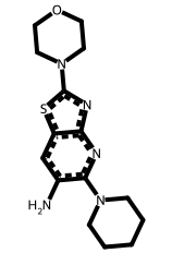 Nc1cc2sc(N3CCOCC3)nc2nc1N1CCCCC1